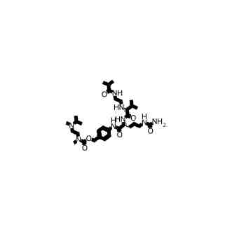 CC(C)C(=O)NCCN[C@@H](C(=O)N[C@H](CCCNC(N)=O)C(=O)Nc1ccc(COC(=O)N(C)CCN(C)C(C)C)cc1)C(C)C